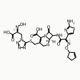 Nc1nc(/C(=N/OC2C=CCC2)C(=O)NC2C(=O)N3C(C(=O)O)=C(CSc4nnnn4C/C(=N\O)C(=O)O)CS[C@H]23)cs1